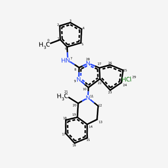 Cc1ccccc1Nc1nc(N2CCc3ccccc3C2C)c2ccccc2n1.Cl